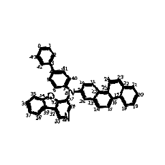 c1ccc(-c2ccc(N(c3ccc4c(ccc5c6ccccc6ccc45)c3)c3cncc4c3oc3ccccc34)cc2)cc1